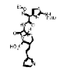 CCON=C(C(=O)NC1C(=O)N2C(C(=O)O)=C(C=Cc3cccnc3)CS[C@@H]12)c1csc(NC=O)n1